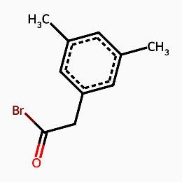 Cc1cc(C)cc(CC(=O)Br)c1